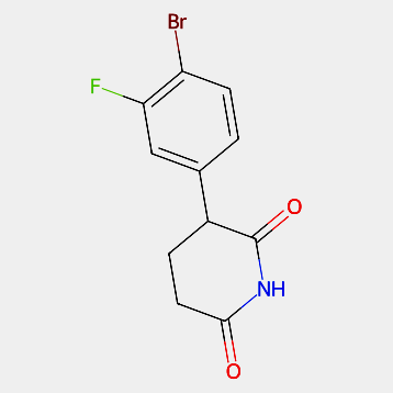 O=C1CCC(c2ccc(Br)c(F)c2)C(=O)N1